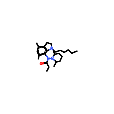 CCCCCCN1CCc2c(C)cc(C)c(N(C(=O)CC)N3C(C)CCCC3C)c21